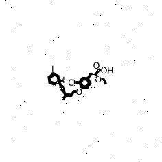 CCO[C@@H](Cc1ccc(OC/C=C(/C)C#CC2(I)C=CC=C(I)C2)c(Cl)c1)C(=O)O